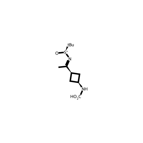 C/C(=N\[S@@+]([O-])C(C)(C)C)[C@H]1C[C@@H](NC(=O)O)C1